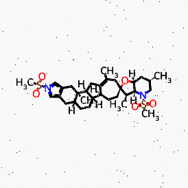 CC1=C2C[C@H]3[C@@H](CC[C@@H]4Cc5cn(S(C)(=O)=O)cc5C[C@@]43C)[C@@H]2CC[C@@]2(C1)O[C@@H]1C[C@H](C)CN(S(C)(=O)=O)[C@H]1[C@H]2C